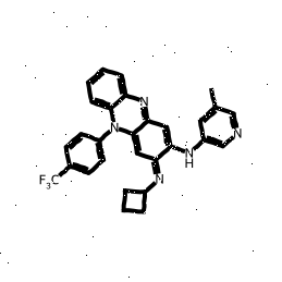 Cc1cncc(Nc2cc3nc4ccccc4n(-c4ccc(C(F)(F)F)cc4)c-3c/c2=N\C2CCC2)c1